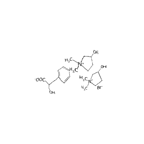 C[N+]1(C)CCC(O)C1.C[N+]1(C)CCC(O)C1.O=C([O-])C(O)c1ccccc1.[Br-]